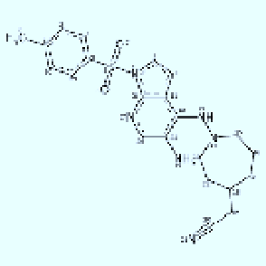 Cc1ccc(S(=O)(=O)n2ccc3c(NN4CCCC(CC#N)CC4)c(N)cnc32)cc1